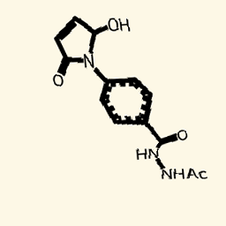 CC(=O)NNC(=O)c1ccc(N2C(=O)C=CC2O)cc1